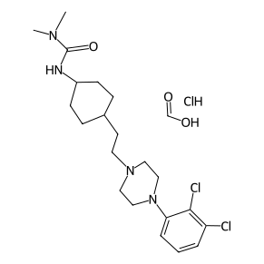 CN(C)C(=O)NC1CCC(CCN2CCN(c3cccc(Cl)c3Cl)CC2)CC1.Cl.O=CO